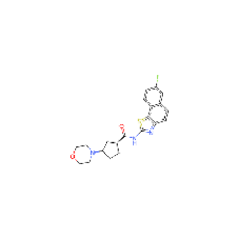 O=C(Nc1nc2ccc3cc(F)ccc3c2s1)[C@H]1CC[C@@H](N2CCOCC2)C1